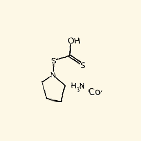 N.OC(=S)SN1CCCC1.[Co]